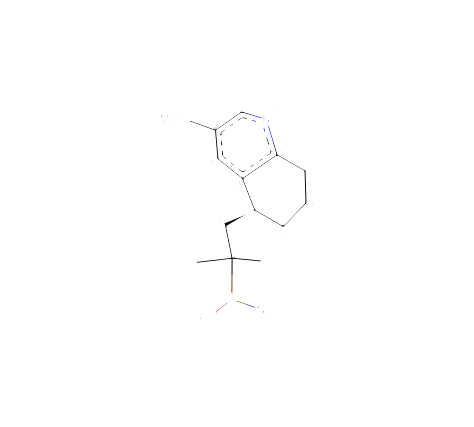 COc1cnc2c(c1)[C@H](CC(C)(C)[S+](N)[O-])CCC2